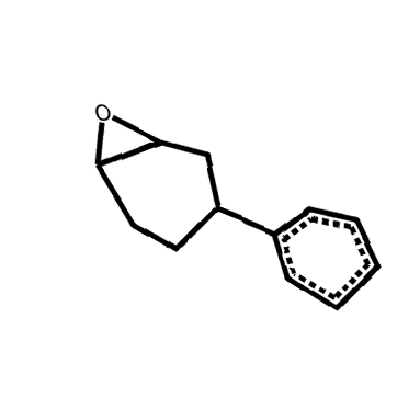 c1ccc(C2CCC3OC3C2)cc1